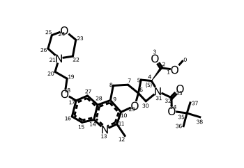 COC(=O)[C@@H]1CC2(CCc3c(c(C)nc4ccc(OCCN5CCOCC5)cc34)O2)CN1C(=O)OC(C)(C)C